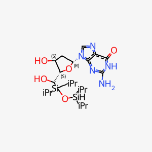 CC(C)[SiH](O[Si](C(C)C)(C(C)C)C(O)[C@H]1O[C@@H](n2cnc3c(=O)[nH]c(N)nc32)C[C@@H]1O)C(C)C